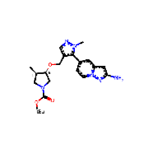 C[C@@H]1CN(C(=O)OC(C)(C)C)C[C@H]1OCc1cnn(C)c1-c1ccn2nc(N)cc2c1